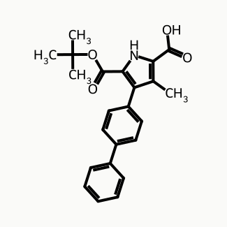 Cc1c(C(=O)O)[nH]c(C(=O)OC(C)(C)C)c1-c1ccc(-c2ccccc2)cc1